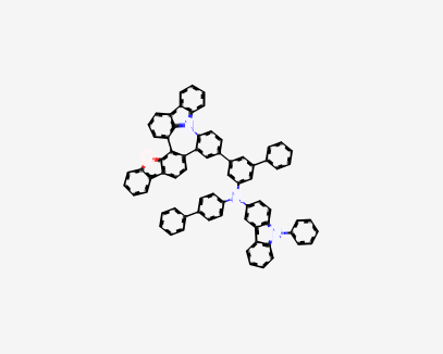 c1ccc(-c2ccc(N(c3cc(-c4ccccc4)cc(-c4ccc5c(c4)-c4ccc6c(oc7ccccc76)c4-c4cccc6c7ccccc7n-5c46)c3)c3ccc4c(c3)c3ccccc3n4-c3ccccc3)cc2)cc1